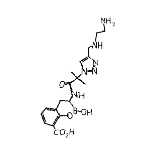 CC(C)(C(=O)NC1Cc2cccc(C(=O)O)c2OB1O)n1cc(CNCCN)nn1